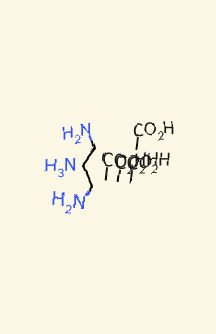 CC(=O)O.CC(=O)O.CC(=O)O.CC(=O)O.N.NCCCN